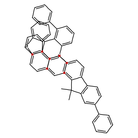 CC1(C)c2cc(-c3ccccc3)ccc2-c2ccc(N(c3cccc(-c4ccccc4)c3-c3ccccc3-c3ccccc3)c3cccc4oc5ccccc5c34)cc21